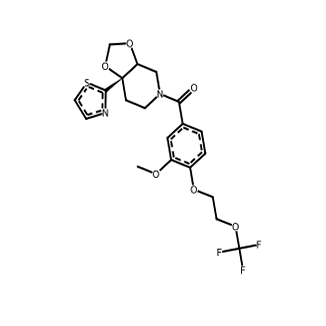 COc1cc(C(=O)N2CC[C@]3(c4nccs4)OCOC3C2)ccc1OCCOC(F)(F)F